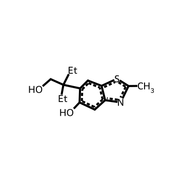 [CH2]CC(CC)(CO)c1cc2sc(C)nc2cc1O